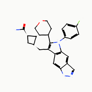 NC(=O)[C@H]1C[C@@H](Cc2c(C3CCOCC3)n(-c3ccc(F)cc3)c3cc4cn[nH]c4cc23)C1